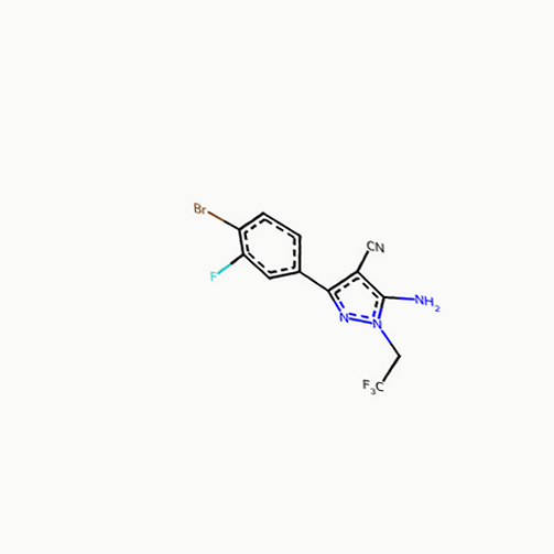 N#Cc1c(-c2ccc(Br)c(F)c2)nn(CC(F)(F)F)c1N